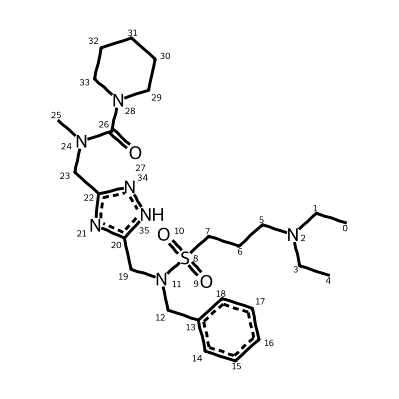 CCN(CC)CCCS(=O)(=O)N(Cc1ccccc1)Cc1nc(CN(C)C(=O)N2CCCCC2)n[nH]1